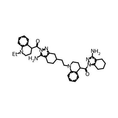 CCN1CCC(C(=O)n2nc3c(c2N)CCC(CCN2CCC(C(=O)n4nc(N)c5c4CCCC5)c4ccccc42)C3)c2ccccc21